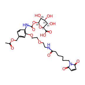 CC(=O)OCc1ccc(NC(=O)O[C@@H]2O[C@H](C(=O)O)[C@@H](O)[C@H](O)[C@H]2O)c(OCCOCCNC(=O)CCCCCN2C(=O)C=CC2=O)c1